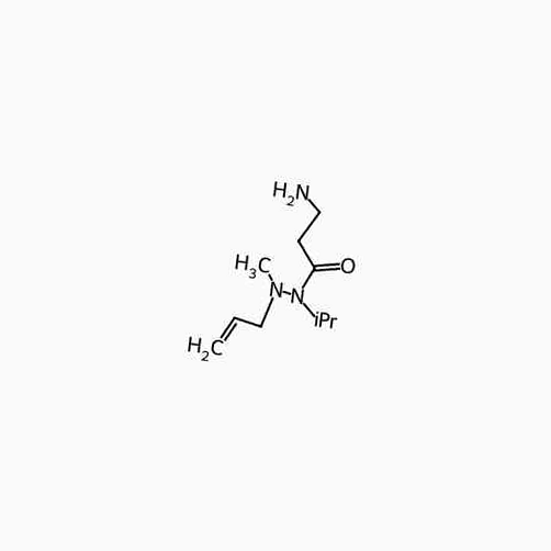 C=CCN(C)N(C(=O)CCN)C(C)C